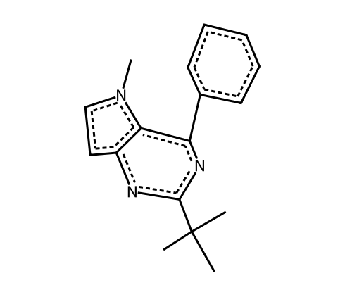 Cn1ccc2nc(C(C)(C)C)nc(-c3ccccc3)c21